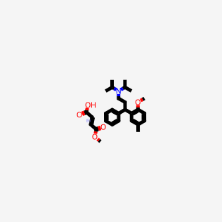 COC(=O)/C=C/C(=O)O.COc1ccc(C)cc1C(CCN(C(C)C)C(C)C)c1ccccc1